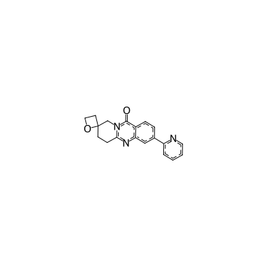 O=c1c2ccc(-c3ccccn3)cc2nc2n1CC1(CCO1)CC2